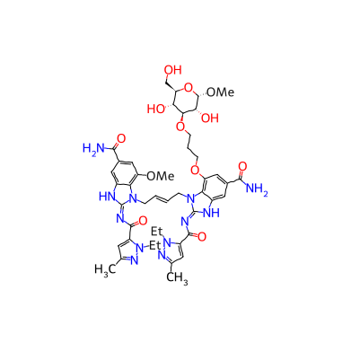 CCn1nc(C)cc1C(=O)/N=c1/[nH]c2cc(C(N)=O)cc(OC)c2n1C/C=C/Cn1/c(=N/C(=O)c2cc(C)nn2CC)[nH]c2cc(C(N)=O)cc(OCCCO[C@@H]3[C@@H](O)[C@@H](OC)O[C@H](CO)[C@H]3O)c21